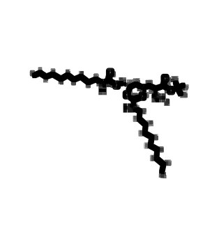 CCCCCCCCCCNC(=O)OC[C@H](CSC[C@H](N)C(=O)OC(C)(C)C)OC(=O)NCCCCCCCCCC